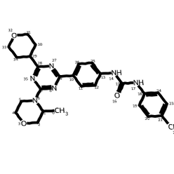 CC1COCCN1c1nc(-c2ccc(NC(=O)Nc3ccc(C#N)cc3)cc2)nc(C2CCOCC2)n1